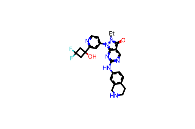 CCn1c(=O)c2cnc(Nc3ccc4c(c3)CNCC4)nc2n1-c1ccnc(C2(O)CC(F)(F)C2)c1